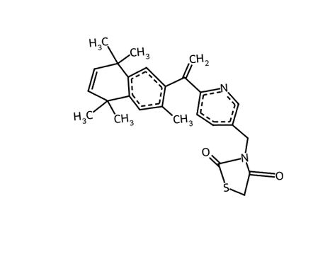 C=C(c1ccc(CN2C(=O)CSC2=O)cn1)c1cc2c(cc1C)C(C)(C)C=CC2(C)C